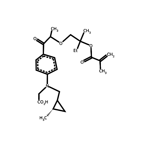 C=C(C)C(=O)OC(C)(CC)COC(C)C(=O)c1ccc(N(CC(=O)O)CC2C[C@@H]2C)cc1